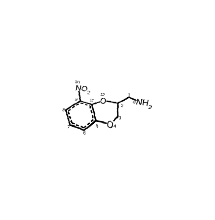 NCC1COc2cccc([N+](=O)[O-])c2O1